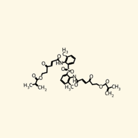 C=C(C)C(=O)OCCC(=O)/C=C/C(=O)Nc1c(C)cccc1S(=O)(=O)c1cccc(C)c1NC(=O)/C=C/C(=O)CCOC(=O)C(=C)C